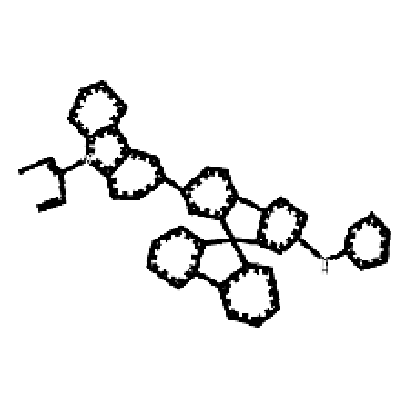 C=C/C(=C\C)n1c2ccccc2c2cc(-c3ccc4c(c3)C3(c5ccccc5-c5ccccc53)c3cc(Nc5ccccc5)ccc3-4)ccc21